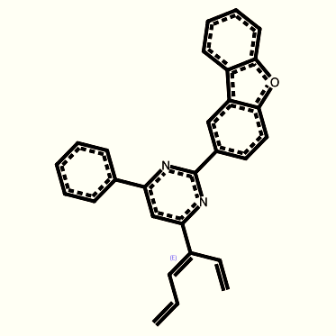 C=C/C=C(\C=C)c1cc(-c2ccccc2)nc(-c2ccc3oc4ccccc4c3c2)n1